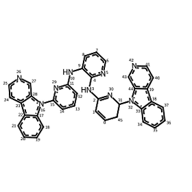 C1=CC(Nc2ncccc2Nc2cccc(-n3c4ccccc4c4ccncc43)n2)=NC(n2c3ccccc3c3ccncc32)C1